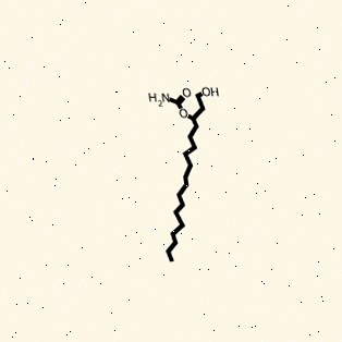 CCCCCCCCCCCCCCCC(CCO)OC(N)=O